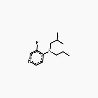 CCCN(CC(C)C)c1ccncc1F